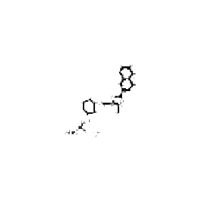 COC(CO[C@@H]1CCC[C@H](OCc2nc(-c3ccc4ccccc4c3)oc2C)C1)C(=O)O